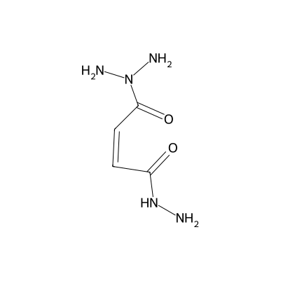 NNC(=O)/C=C\C(=O)N(N)N